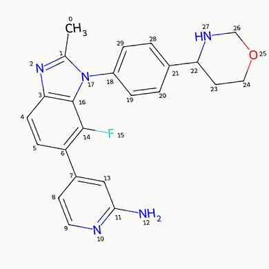 Cc1nc2ccc(-c3ccnc(N)c3)c(F)c2n1-c1ccc(C2CCOCN2)cc1